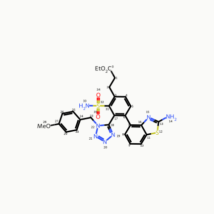 CCOC(=O)CCc1ccc(-c2cccc3sc(N)nc23)c(-c2nnnn2Cc2ccc(OC)cc2)c1S(N)(=O)=O